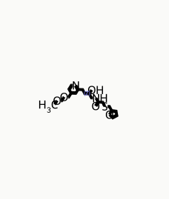 COCOCc1ccnc(C/C=C(\O)CNC(=O)CSCc2ccco2)c1